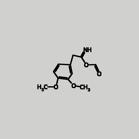 COc1ccc(CC(=N)OC=O)cc1OC